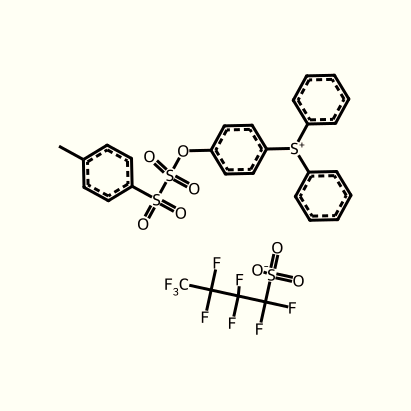 Cc1ccc(S(=O)(=O)S(=O)(=O)Oc2ccc([S+](c3ccccc3)c3ccccc3)cc2)cc1.O=S(=O)([O-])C(F)(F)C(F)(F)C(F)(F)C(F)(F)F